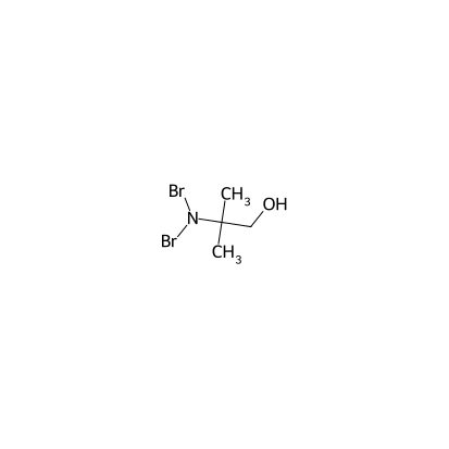 CC(C)(CO)N(Br)Br